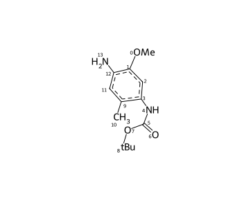 COc1cc(NC(=O)OC(C)(C)C)c(C)cc1N